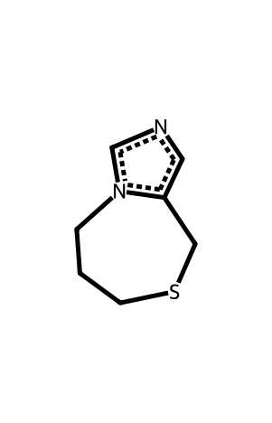 c1ncn2c1CSCCC2